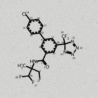 CC(CF)(NC(=O)c1cc(-c2ccc(Cl)cc2)cc(C2(C(F)(F)F)N=NN=N2)c1)C(F)F